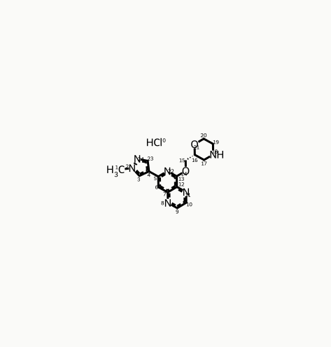 Cl.Cn1cc(-c2cc3nccnc3c(OC[C@H]3CNCCO3)n2)cn1